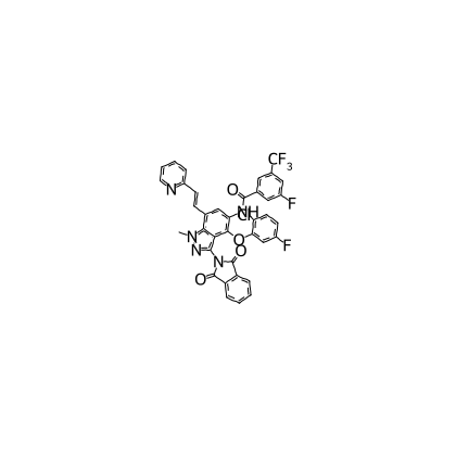 Cn1nc(N2C(=O)c3ccccc3C2=O)c2c(Oc3cc(F)ccc3Cl)c(NC(=O)c3cc(F)cc(C(F)(F)F)c3)cc(C=Cc3ccccn3)c21